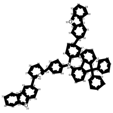 c1ccc(C2(c3ccccc3)c3ccccc3-c3c(N(c4ccc(-c5cccc(-c6ccc7oc8ccccc8c7c6)c5)cc4)c4ccc(-c5ccc6c(c5)oc5ccccc56)cc4)cccc32)cc1